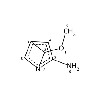 COC1c2cc(N)n1c2